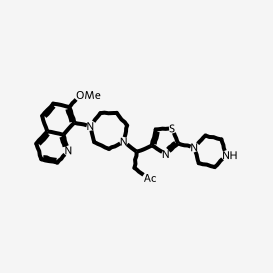 COc1ccc2cccnc2c1N1CCCN(C(CC(C)=O)c2csc(N3CCNCC3)n2)CC1